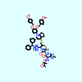 COc1ccc(COc2ccc(-[n+]3ccc(SCC4=C(c5nnn(C(c6ccccc6)c6ccccc6)n5)N5C(=O)[C@@H](NC(=O)/C(=N\OC(C)(C)C(C)=O)c6csc(C)n6)[C@H]5SC4)c4c3CCC4)cc2OCc2ccc(OC)cc2)cc1